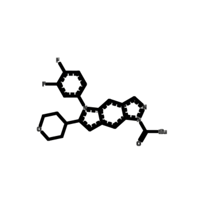 CC(C)(C)C(=O)n1ncc2cc3c(cc(C4CCOCC4)n3-c3ccc(F)c(F)c3)cc21